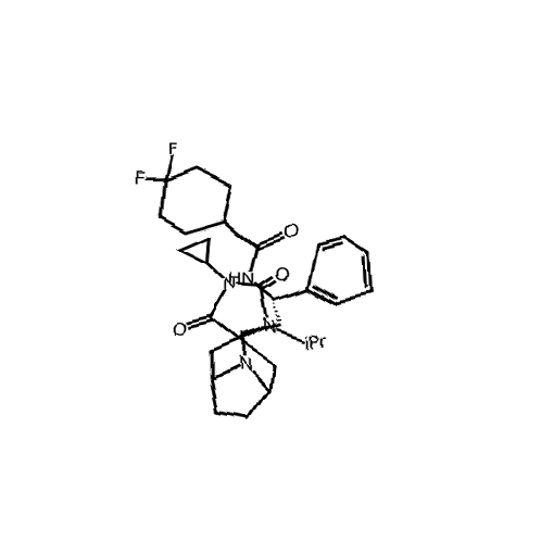 CC(C)N1C(=O)N(C2CC2)C(=O)C12CC1CCC(C2)N1CC[C@H](NC(=O)C1CCC(F)(F)CC1)c1ccccc1